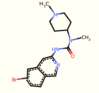 CN1CCC(N(C)C(=O)Nc2cc3cc(Br)ccc3cn2)CC1